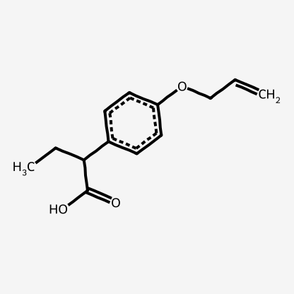 C=CCOc1ccc(C(CC)C(=O)O)cc1